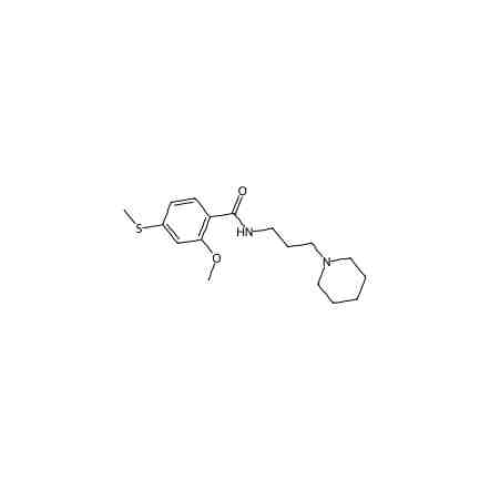 COc1cc(SC)ccc1C(=O)NCCCN1CCCCC1